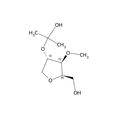 CO[C@@H]1[C@@H](OC(C)(C)O)CO[C@@H]1CO